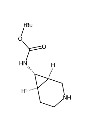 CC(C)(C)OC(=O)N[C@H]1[C@@H]2CCNC[C@@H]21